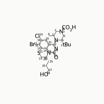 CC1CN(C(=O)O)CC(C(C)(C)C)N1c1nc(=O)n2c3c(c(Br)c(Cl)cc13)SC[C@H]2CCCO